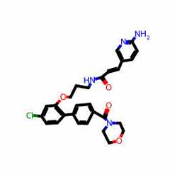 Nc1ccc(C=CC(=O)NCCCOc2cc(Cl)ccc2-c2ccc(C(=O)N3CCOCC3)cc2)cn1